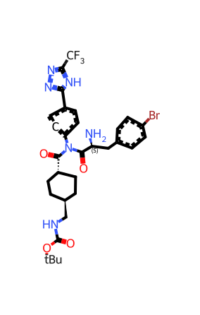 CC(C)(C)OC(=O)NC[C@H]1CC[C@H](C(=O)N(C(=O)[C@@H](N)Cc2ccc(Br)cc2)c2ccc(-c3nnc(C(F)(F)F)[nH]3)cc2)CC1